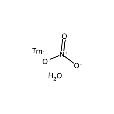 O.O=[N+]([O-])[O-].[Tm]